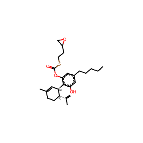 C=C(C)[C@@H]1CCC(C)=C[C@H]1c1c(O)cc(CCCCC)cc1OC(=O)SCCC1CO1